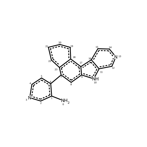 Nc1cnccc1-c1cc2[nH]c3cnccc3c2c2ccccc12